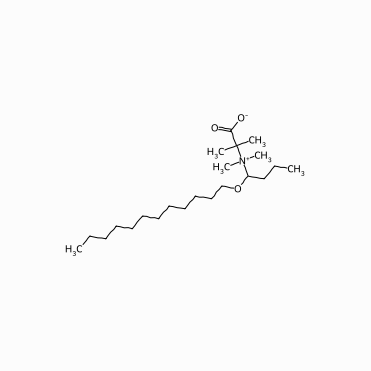 CCCCCCCCCCCCOC(CCC)[N+](C)(C)C(C)(C)C(=O)[O-]